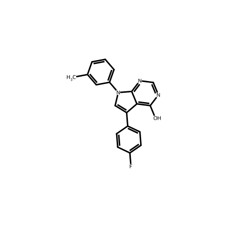 Cc1cccc(-n2cc(-c3ccc(F)cc3)c3c(O)ncnc32)c1